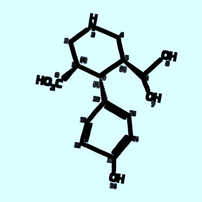 O=C(O)[C@H]1CNC[C@@H](C(O)O)[C@@H]1c1ccc(O)cc1